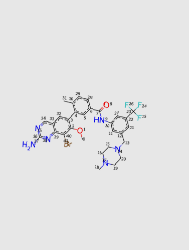 COc1c(-c2cc(C(=O)Nc3cc(CN4CCN(C)CC4)cc(C(F)(F)F)c3)ccc2C)cc2cnc(N)nc2c1Br